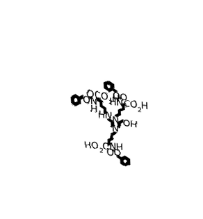 O=C(N[C@@H](CCCCNCC1=CN(CCCC[C@H](NC(=O)OCc2ccccc2)C(=O)O)C=C(CO)N1CCCC[C@H](NC(=O)OCc1ccccc1)C(=O)O)C(=O)O)OCc1ccccc1